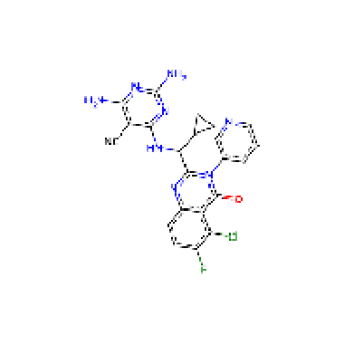 N#Cc1c(N)nc(N)nc1NC(c1nc2ccc(F)c(Cl)c2c(=O)n1-c1cccnc1)C1CC1